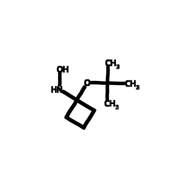 CC(C)(C)OC1(NO)CCC1